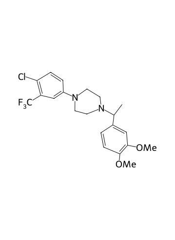 COc1ccc(C(C)N2CCN(c3ccc(Cl)c(C(F)(F)F)c3)CC2)cc1OC